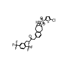 O=C(CCc1cc(C(F)(F)F)ccc1C(F)(F)F)Cc1ccc2c(c1)CC1CCC(C2)C1NS(=O)(=O)c1ccc(Cl)s1